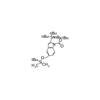 CCC[CH2][Sn]([CH2]CCC)([CH2]CCC)[c]1cc2cc(CO[Si](C)(C)C(C)(C)C)ccc2n1C(=O)OC(C)(C)C